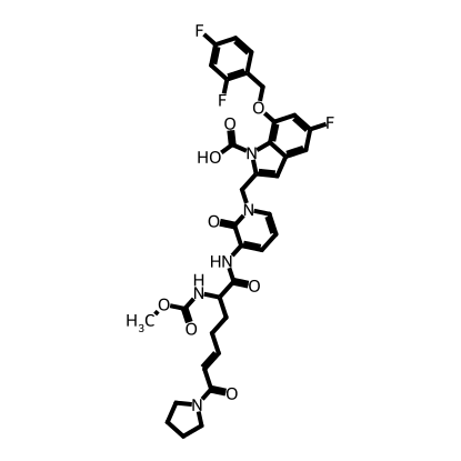 COC(=O)NC(CC/C=C/C(=O)N1CCCC1)C(=O)Nc1cccn(Cc2cc3cc(F)cc(OCc4ccc(F)cc4F)c3n2C(=O)O)c1=O